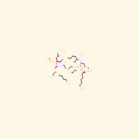 CCCCCCCCCCCCCCCC(=O)O[C@H](CCCCCCCCCCC)CC(=O)NC1C(O)OC(CO[C@@H]2OC(CO)[C@@H](OP(=O)(O)O)[C@H](OC(=O)C[C@@H](CCCCCCCCCCC)OC(=O)CCCCCCCCCCCCC)C2NC(=O)C[C@@H](CCCCCCCCCCC)OC(=O)CCCCCCCCCCC)[C@@H](O)[C@@H]1O